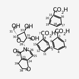 O=C(O)c1ccccc1.O=C(O)c1ccccc1.O=C(O)c1ccccc1.O=c1c2c(ccn1[C@@H]1O[C@H](CO)[C@@H](O)[C@H]1O)OCC2